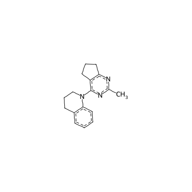 Cc1nc2c(c(N3CCCc4ccccc43)n1)CCC2